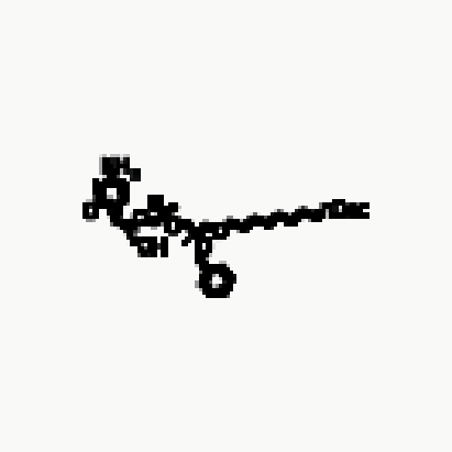 CCCCCCCCCCCCCCCCCCOC[C@](C)(COP(C)(=O)CO[C@H](CO)Cn1ccc(N)nc1=O)OCc1ccccc1